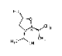 CC1CN(C(C)C)[C@H](C(C)C)O1